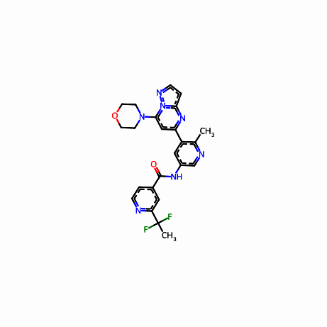 Cc1ncc(NC(=O)c2ccnc(C(C)(F)F)c2)cc1-c1cc(N2CCOCC2)n2nccc2n1